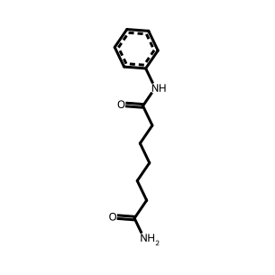 NC(=O)CCCCCC(=O)Nc1ccccc1